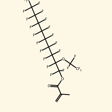 C=C(C)C(=O)OC(F)(F)C(F)(OC(F)(F)C(F)(F)F)C(F)(F)C(F)(F)C(F)(F)C(F)(F)C(F)(F)C(F)(F)C(F)(F)C(F)(F)F